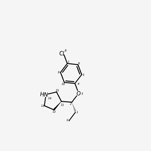 CC[C@@H](Oc1ccc(Cl)cc1)[C@H]1CCNC1